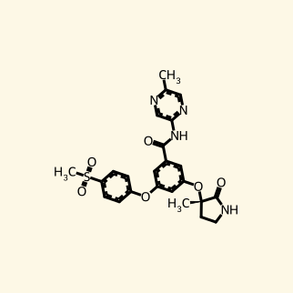 Cc1cnc(NC(=O)c2cc(Oc3ccc(S(C)(=O)=O)cc3)cc(O[C@@]3(C)CCNC3=O)c2)cn1